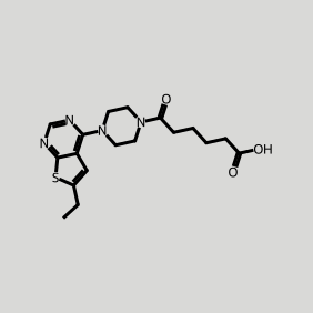 CCc1cc2c(N3CCN(C(=O)CCCCC(=O)O)CC3)ncnc2s1